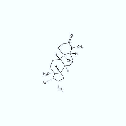 CC(=O)[C@H]1[C@@H](C)C[C@H]2[C@@H]3CC[C@H]4N(C)C(=O)CC[C@]4(C)[C@H]3CC[C@@]21C